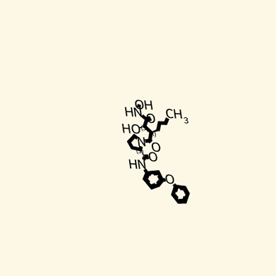 CCCC[C@@H](C(=O)N1CCC[C@H]1C(=O)Nc1cccc(Oc2ccccc2)c1)[C@H](O)C(=O)NO